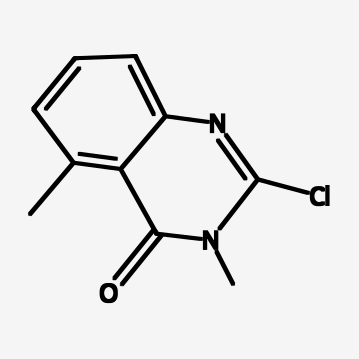 Cc1cccc2nc(Cl)n(C)c(=O)c12